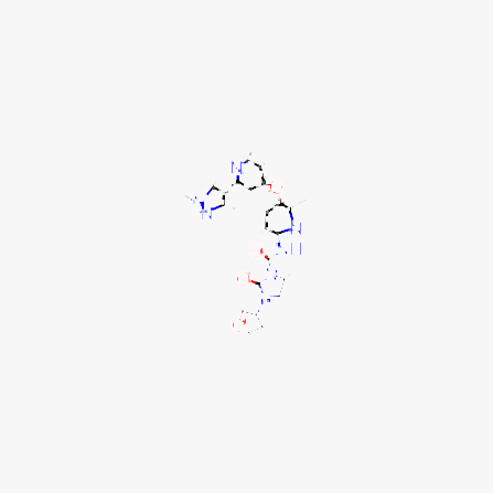 Cc1nc(NC(=O)N2CCN(C3CCOC3)C2=O)ccc1Oc1ccnc(-c2cnn(C)c2)c1